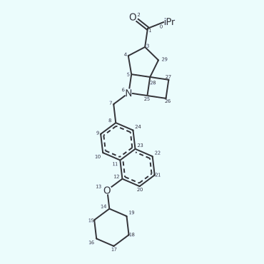 CC(C)C(=O)C1CC2N(Cc3ccc4c(OC5CCCCC5)cccc4c3)C3CCC32C1